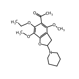 CCOc1c(OC)c2c(c(OC)c1C(C)=O)CC(N1CCCCC1)O2